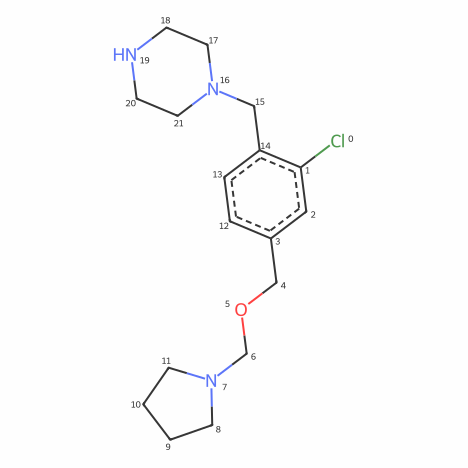 Clc1cc(COCN2CCCC2)ccc1CN1CCNCC1